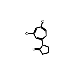 O=C1CCCN1C1=CC(Cl)=CC(Cl)=CC1